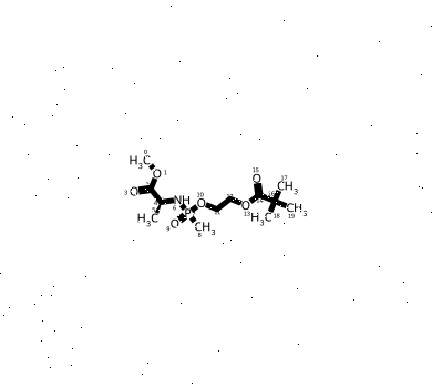 COC(=O)[C@H](C)NP(C)(=O)OCCOC(=O)C(C)(C)C